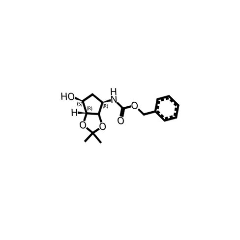 CC1(C)OC2[C@H](NC(=O)OCc3ccccc3)C[C@H](O)[C@H]2O1